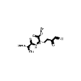 CO[C@H](C(=O)N[C@@H](CCC(=O)C=N)C(=O)OC(C)C)C(C)(C)C